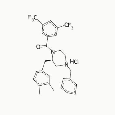 Cc1ccc(C[C@@H]2CN(Cc3ccccc3)CCN2C(=O)c2cc(C(F)(F)F)cc(C(F)(F)F)c2)cc1C.Cl